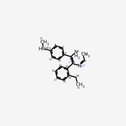 C/C=N\C(=C(/N)c1ccc(NC)cc1)c1ccccc1CC